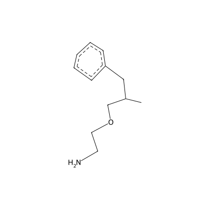 CC(COCCN)Cc1ccccc1